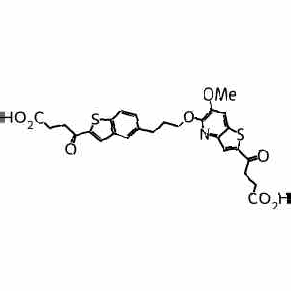 COc1cc2sc(C(=O)CCC(=O)O)cc2nc1OCCCc1ccc2sc(C(=O)CCC(=O)O)cc2c1